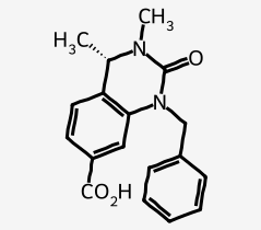 C[C@H]1c2ccc(C(=O)O)cc2N(Cc2ccccc2)C(=O)N1C